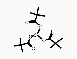 CC(C)(C)C(=O)O[Si](OC(=O)C(C)(C)C)OC(=O)C(C)(C)C